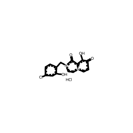 Cl.O=c1ccn2ccn(Cc3ccc(Cl)cc3O)c(=O)c2c1O